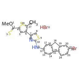 Br.COC(=S)c1cc(-c2csc(Nc3ccc4c(c3)Cc3cc(Br)ccc3-4)n2)c(C)s1